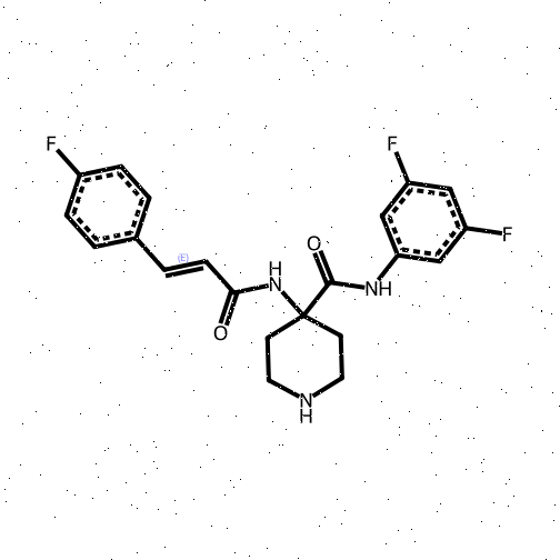 O=C(/C=C/c1ccc(F)cc1)NC1(C(=O)Nc2cc(F)cc(F)c2)CCNCC1